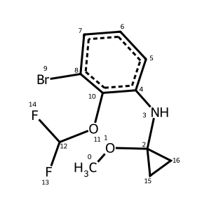 COC1(Nc2cccc(Br)c2OC(F)F)CC1